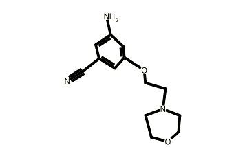 N#Cc1cc(N)cc(OCCN2CCOCC2)c1